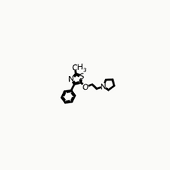 Cc1nc(-c2ccccc2)c(OCCN2CCCC2)s1